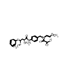 COCCN(Cc1ccc(NC(=O)[C@@H](N)CC(Oc2ccccc2)SC)cc1)C(=O)C(Cl)Cl